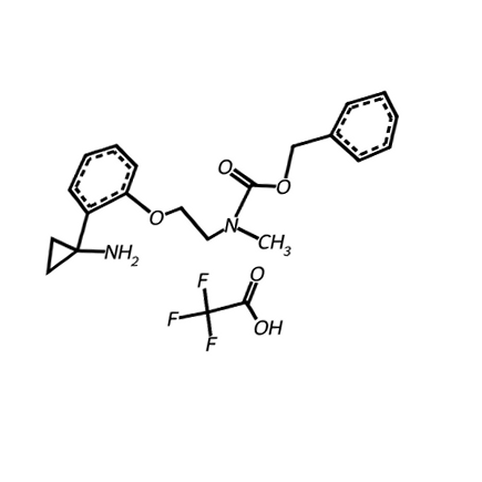 CN(CCOc1ccccc1C1(N)CC1)C(=O)OCc1ccccc1.O=C(O)C(F)(F)F